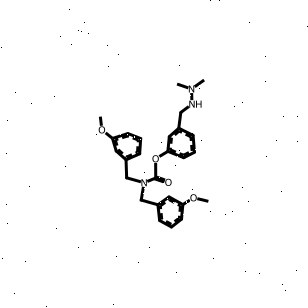 COc1cccc(CN(Cc2cccc(OC)c2)C(=O)Oc2cccc(CNN(C)C)c2)c1